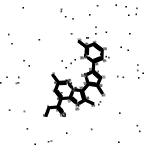 CCC(=O)c1cc(C)nn2c(-c3sc(-c4cccc(C)n4)cc3C)c(C)nc12